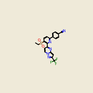 CCS(=O)(=O)c1ccc(-c2ccc(C#N)cc2)nc1-c1ccn2nc(C(F)(F)F)cc2n1